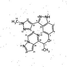 CC(Oc1ccc2[nH]nc(-c3cnn(C)c3)c2c1)c1nccn2nccc12